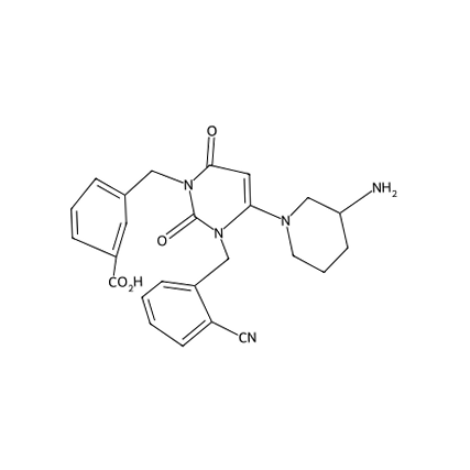 N#Cc1ccccc1Cn1c(N2CCCC(N)C2)cc(=O)n(Cc2cccc(C(=O)O)c2)c1=O